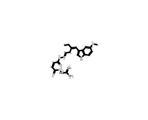 CCC(=Cc1c[nH]c2ccc(OC)cc12)CC=NOC(=O)/C=C\C(=O)ONC(=N)N